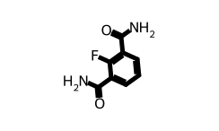 NC(=O)c1cccc(C(N)=O)c1F